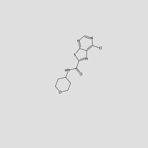 O=C(NC1CCOCC1)c1nc2c(Cl)ncnc2s1